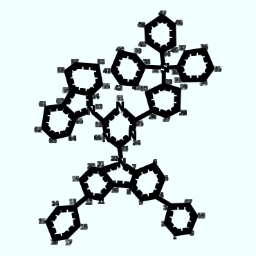 c1ccc(-c2ccc3c(c2)c2cc(-c4ccccc4)ccc2n3-c2nc(-c3cccc([Si](c4ccccc4)(c4ccccc4)c4ccccc4)c3)nc(-n3c4ccccc4c4ccccc43)n2)cc1